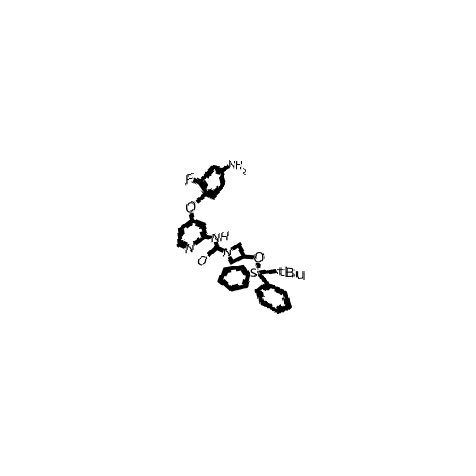 CC(C)(C)[Si](OC1CN(C(=O)Nc2cc(Oc3ccc(N)cc3F)ccn2)C1)(c1ccccc1)c1ccccc1